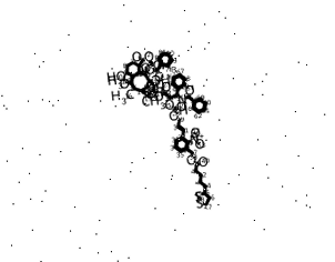 CC(=O)O[C@@]12COC1C[C@H](O)[C@@]1(C)C(=O)[C@H](C)C3=C(C)C(OC(=O)[C@H](OC(=O)OC/C=C/c4cccc(COC(=O)CCCCC5CCSS5)c4[N+](=O)[O-])C(NC(=O)c4ccccc4)c4ccccc4)C[C@@](O)([C@@H](OC(=O)c4ccccc4)[C@@H]12)C3(C)C